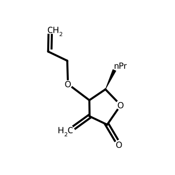 C=CCOC1C(=C)C(=O)O[C@@H]1CCC